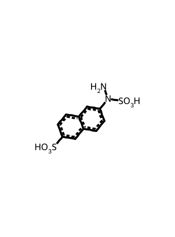 NN(c1ccc2cc(S(=O)(=O)O)ccc2c1)S(=O)(=O)O